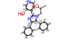 CC(O)Cn1c(-c2ccncc2O)nc(-c2ccccc2)c1-c1ccccc1